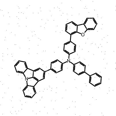 c1ccc(-c2ccc(N(c3ccc(-c4cc5c6ccccc6n6c7ccccc7c(c4)c56)cc3)c3ccc(-c4cccc5c4oc4ccccc45)cc3)cc2)cc1